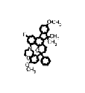 COc1ccc(C2(c3ccccc3)C=Cc3c4c(c5cc(F)cc(N6CCOCC6)c5c3O2)-c2ccc(OC)cc2C4(C)C)cc1